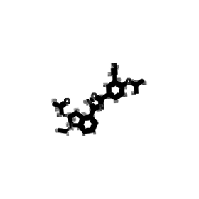 CC[P@@]1c2cccc(-c3noc(-c4ccc(OC(C)C)c(C#N)c4)n3)c2C[C@H]1CC(C)=O